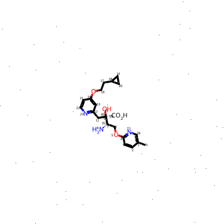 Cc1ccc(OC[C@H](N)[C@](O)(Cc2cc(OCCC3CC3)ccn2)C(=O)O)nc1